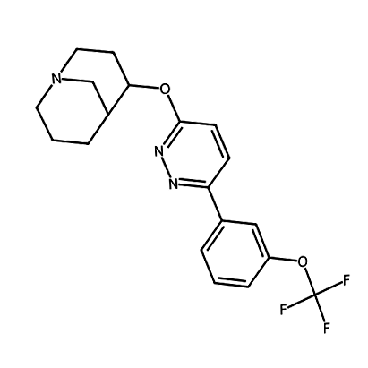 FC(F)(F)Oc1cccc(-c2ccc(OC3CCN4CCCC3C4)nn2)c1